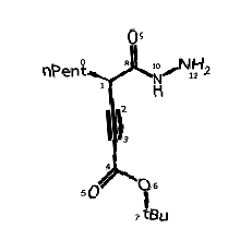 CCCCC[C@H](C#CC(=O)OC(C)(C)C)C(=O)NN